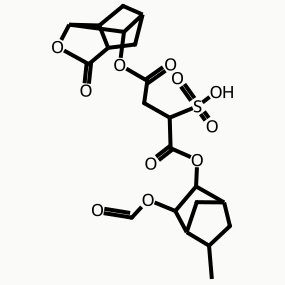 CC1CC2CC1C(OC=O)C2OC(=O)C(CC(=O)OC1C2CC3C(=O)OC1C3C2)S(=O)(=O)O